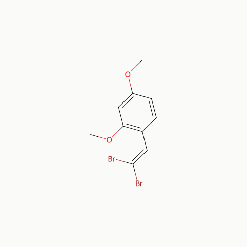 COc1ccc(C=C(Br)Br)c(OC)c1